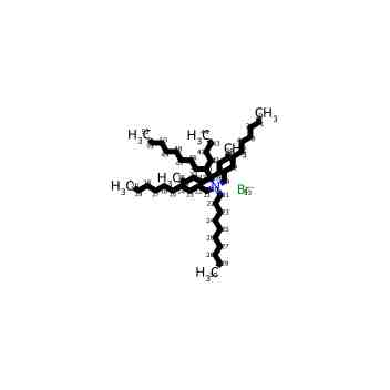 CCCCCCCCCC[N+](CCCCCCCCCC)(CCCCCCCCCC)C(CCCC)(CCCC)C(CCCC)CCCCCCCC.[Br-]